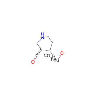 CCCC[O].O=C=C1CNCCC1C(=O)O